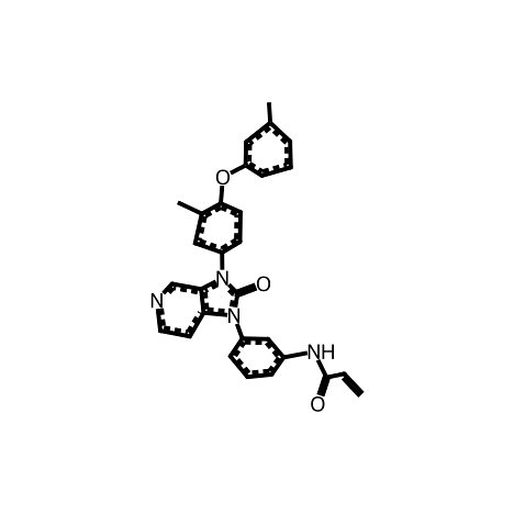 C=CC(=O)Nc1cccc(-n2c(=O)n(-c3ccc(Oc4cccc(C)c4)c(C)c3)c3cnccc32)c1